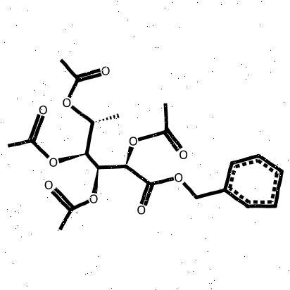 CC(=O)O[C@H]([C@H](OC(C)=O)[C@@H](OC(C)=O)C(=O)OCc1ccccc1)[C@@H](C)OC(C)=O